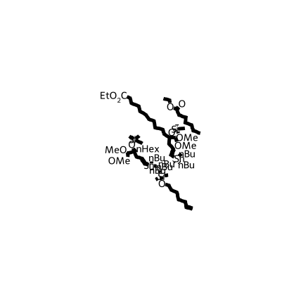 C=CCCCCCO[Si](C)(C)C.CCCCCCC(=O)OCC.CCCCCCC(C/C=[CH]/[Sn]([CH2]CCC)([CH2]CCC)[CH2]CCC)(O[Si](C)(C)C)C(OC)OC.CCC[CH2][Sn]([CH]=CCC(CCCCCCCCCCC(=O)OCC)(O[Si](C)(C)C)C(OC)OC)([CH2]CCC)[CH2]CCC